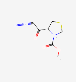 CC(C)(C)OC(=O)N1CSC[C@@H]1C(=O)C=[N+]=[N-]